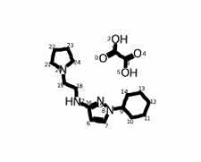 O=C(O)C(=O)O.c1cn(C2CCCCC2)nc1NCCN1CCCC1